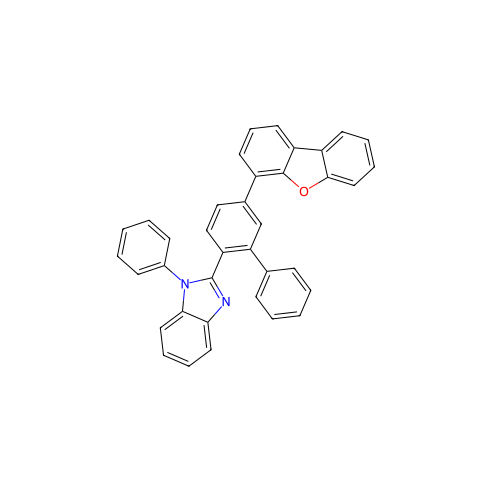 c1ccc(-c2cc(-c3cccc4c3oc3ccccc34)ccc2-c2nc3ccccc3n2-c2ccccc2)cc1